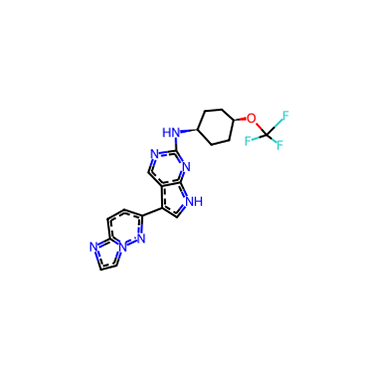 FC(F)(F)O[C@H]1CC[C@@H](Nc2ncc3c(-c4ccc5nccn5n4)c[nH]c3n2)CC1